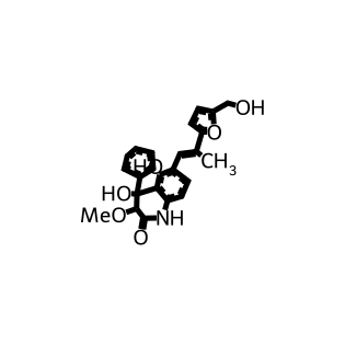 COC1C(=O)Nc2ccc(/C=C(\C)c3ccc(CO)o3)c(O)c2C1(O)c1ccccc1